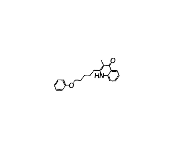 Cc1c(CCCCCOc2ccccc2)[nH]c2ccccc2c1=O